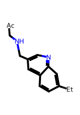 CCc1ccc2cc(CNCC(C)=O)cnc2c1